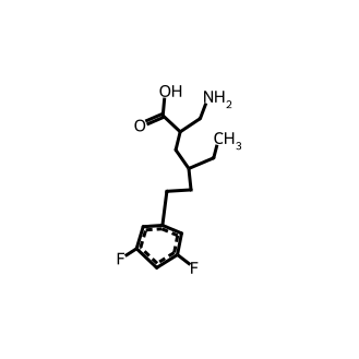 CCC(CCc1cc(F)cc(F)c1)CC(CN)C(=O)O